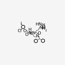 N=C(N)NCCC[C@@H]1N[C@H](CNC(=O)COc2ccc(I)cc2Cl)CCN(CC(c2ccccc2)c2ccccc2)C1=O